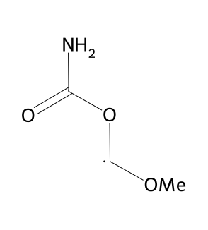 CO[CH]OC(N)=O